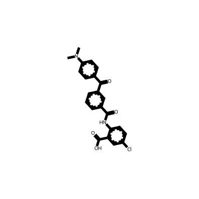 CN(C)c1ccc(C(=O)c2cccc(C(=O)Nc3ccc(Cl)cc3C(=O)O)c2)cc1